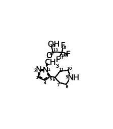 Cn1nccc1C1CCNCC1.O=C(O)C(F)(F)F